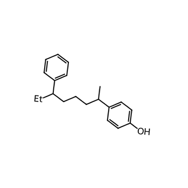 CCC(CCCC(C)c1ccc(O)cc1)c1ccccc1